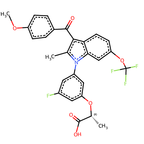 COc1ccc(C(=O)c2c(C)n(-c3cc(F)cc(O[C@H](C)C(=O)O)c3)c3cc(OC(F)(F)F)ccc23)cc1